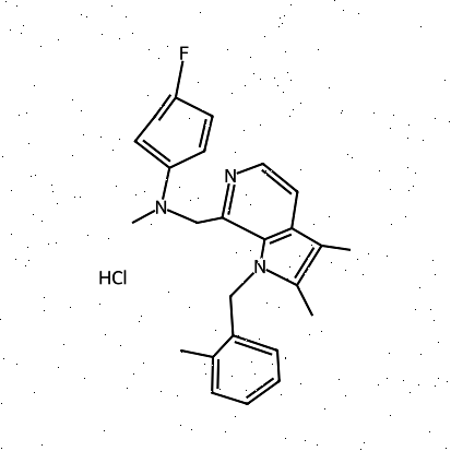 Cc1ccccc1Cn1c(C)c(C)c2ccnc(CN(C)c3ccc(F)cc3)c21.Cl